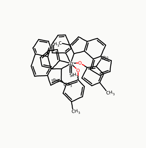 CC1=Cc2ccc3ccccc3c2[CH]1[Zr](=[SiH2])([O]c1ccc(C)cc1C(C)(C)C)([O]c1ccc(C)cc1C(C)(C)C)([c]1ccccc1)([c]1ccccc1)[CH]1C(C)=Cc2ccc3ccccc3c21